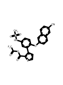 CS(=O)(=O)Nc1ccc(Oc2ccc3cc(C#N)ccc3c2)c(-c2ccsc2C(=O)OC(=O)C(F)(F)F)c1